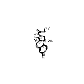 C[C@]12C=CC(=O)C=C1CC[C@@H]1[C@@H]2[C@@H](O)C[C@@]2(C)[C@H]1CC[C@@]21OC1CO